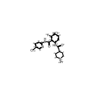 CC(C)N1CCC(C(=O)Nc2cccc(F)c2C(=O)Nc2ccc(Cl)cn2)CC1.Cl